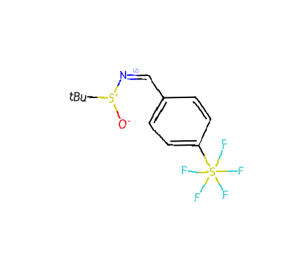 CC(C)(C)[S+]([O-])/N=C\c1ccc(S(F)(F)(F)(F)F)cc1